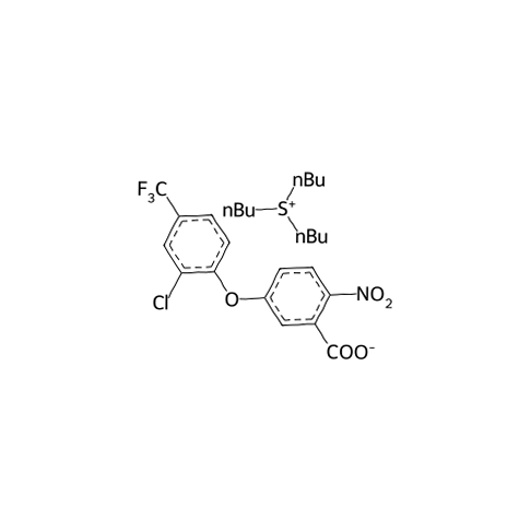 CCCC[S+](CCCC)CCCC.O=C([O-])c1cc(Oc2ccc(C(F)(F)F)cc2Cl)ccc1[N+](=O)[O-]